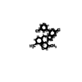 CC1CCC(Cn2c(N3CCOCC3C)nc3nc(Cl)nc(-c4cncc(Cl)c4)c32)CC1